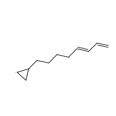 C=CC=CCCCCC1[CH]C1